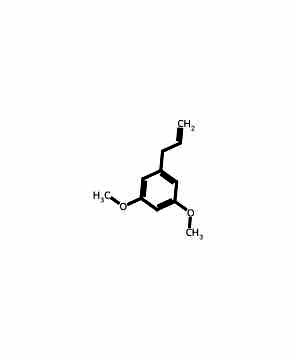 C=CCc1cc(OC)[c]c(OC)c1